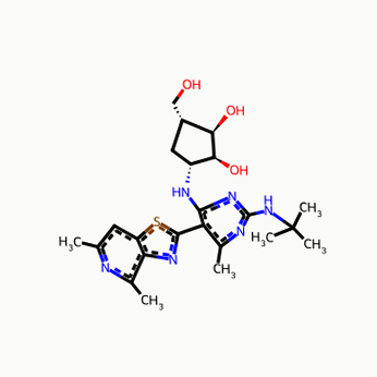 Cc1cc2sc(-c3c(C)nc(NC(C)(C)C)nc3N[C@@H]3C[C@H](CO)[C@@H](O)[C@H]3O)nc2c(C)n1